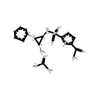 CC(=O)c1ccc(S(=O)(=O)N[C@H]2[C@H](C)[C@@H]2c2ccccc2)s1.O=C(O)O